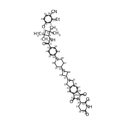 CCc1cc(O[C@H]2C(C)(C)[C@H](NC(=O)c3ccc(N4CCC(N5CC(N6Cc7cc8c(cc7C6)C(=O)N(C6CCC(=O)NC6=O)C8=O)C5)CC4)cc3)C2(C)C)ccc1C#N